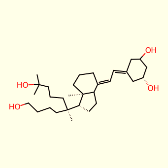 CC(C)(O)CCC[C@](C)(CCCCO)[C@H]1CCC2/C(=C/C=C3/CC(O)C[C@H](O)C3)CCC[C@@]21C